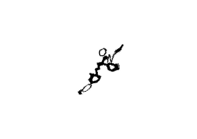 CCCN1C(=O)/C(=C/CCc2ccc(OCC)cc2)c2ccccc21